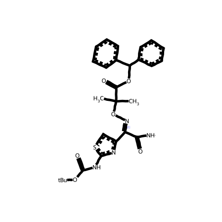 CC(C)(C)OC(=O)Nc1nc(/C(=N\OC(C)(C)C(=O)OC(c2ccccc2)c2ccccc2)C([NH])=O)cs1